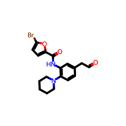 O=CCc1ccc(N2CCCCC2)c(NC(=O)c2ccc(Br)o2)c1